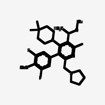 COc1c(F)cc(-c2c(CN3CCCC3)nc(C)c(C(OC(C)(C)C)C(=O)O)c2N2CCC(C)(C)CC2)cc1F